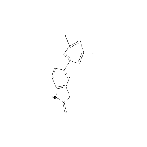 Cc1cc(C)cc(-c2ccc3c(c2)CC(=O)N3)c1